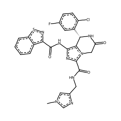 Cn1cnc(CNC(=O)c2nc(NC(=O)c3nsc4ccccc34)c3n2CC(=O)N[C@H]3c2cc(F)ccc2Cl)c1